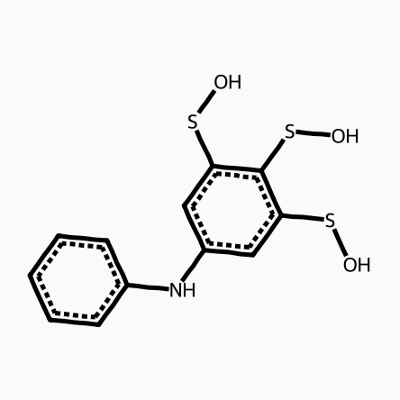 OSc1cc(Nc2ccccc2)cc(SO)c1SO